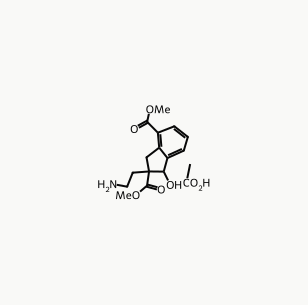 CC(=O)O.COC(=O)c1cccc2c1CC(CCN)(C(=O)OC)C2O